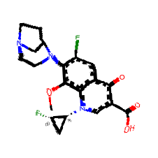 COc1c(N2CCN3CCC2C3)c(F)cc2c(=O)c(C(=O)O)cn([C@@H]3C[C@@H]3F)c12